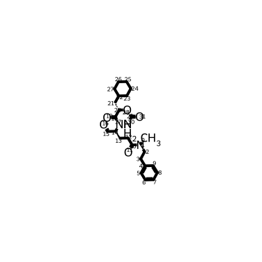 CN(CCc1ccccc1)C(=O)CC[C@@H](C=O)NC(=O)[C@H](CC1CCCCC1)OC(N)=O